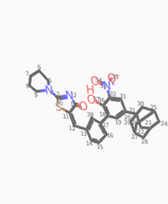 O=C1N=C(N2CCCCC2)SC1=Cc1cccc(-c2cc(C34CC5CC(CC(C5)C3)C4)cc([N+](=O)[O-])c2O)c1